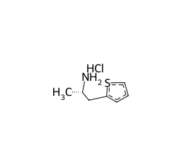 C[C@H](N)Cc1cccs1.Cl